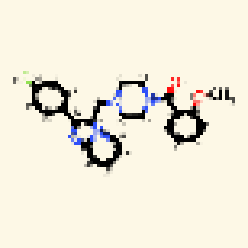 COc1ccccc1C(=O)N1CCN(Cc2c(-c3ccc(F)cc3)nc3ccccn23)CC1